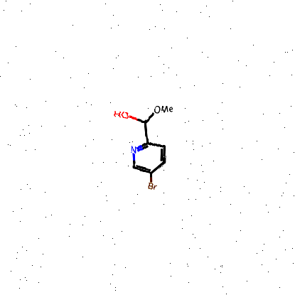 COC(O)c1ccc(Br)cn1